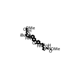 CC[C@H](C)N(Cc1nc2ccc3cc4c(cc3c2[nH]1)OCc1cc(-c2cnc(C3CCN3C(=O)CNC(=O)OC)[nH]2)ccc1-4)C(=O)CNC(=O)OC